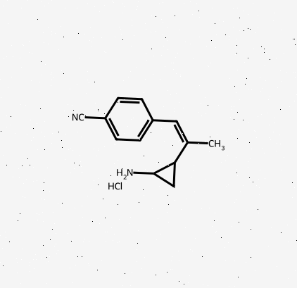 CC(=Cc1ccc(C#N)cc1)C1CC1N.Cl